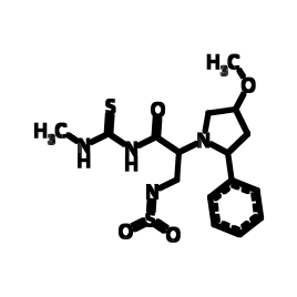 CNC(=S)NC(=O)C(CN=S(=O)=O)N1CC(OC)CC1c1ccccc1